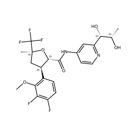 COc1c([C@H]2C[C@@](C)(C(F)(F)F)O[C@@H]2C(=O)Nc2ccnc([C@H](O)[C@H](C)O)c2)ccc(F)c1F